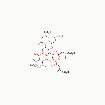 CC(CC(=O)OCC(OC(=O)CC(C)C(=O)O)C(OC(=O)CC(C)C(=O)O)C(OC(=O)CC(C)C(=O)O)C(COC(=O)CC(C)C(=O)O)OC(=O)CC(C)C(=O)O)C(=O)O